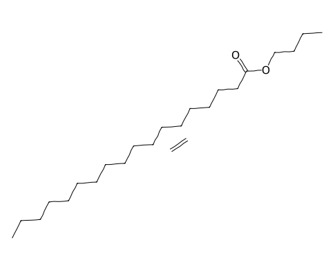 C=C.CCCCCCCCCCCCCCCCCC(=O)OCCCC